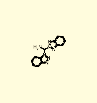 NC(n1nc2ccccc2n1)n1nnc2ccccc21